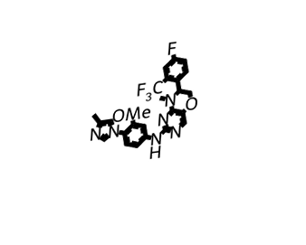 COc1cc(Nc2ncc3c(n2)N(C)C(c2ccc(F)cc2C(F)(F)F)CO3)ccc1-n1cnc(C)c1